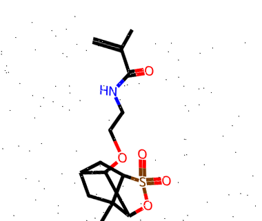 C=C(C)C(=O)NCCOC1C2CC3C(C)(C2)C1OS3(=O)=O